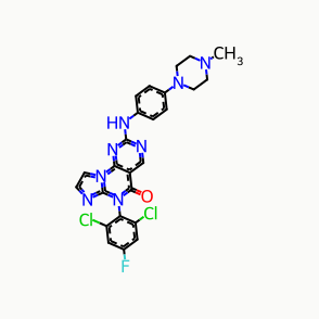 CN1CCN(c2ccc(Nc3ncc4c(=O)n(-c5c(Cl)cc(F)cc5Cl)c5nccn5c4n3)cc2)CC1